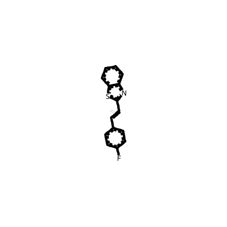 Fc1ccc(/C=C/c2nc3ccccc3s2)cc1